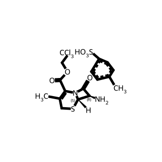 CC1=C(C(=O)OCC(Cl)(Cl)Cl)N2C(=O)[C@@H](N)[C@@H]2SC1.Cc1ccc(S(=O)(=O)O)cc1